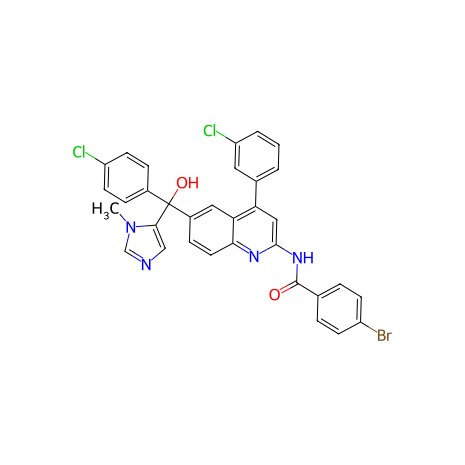 Cn1cncc1C(O)(c1ccc(Cl)cc1)c1ccc2nc(NC(=O)c3ccc(Br)cc3)cc(-c3cccc(Cl)c3)c2c1